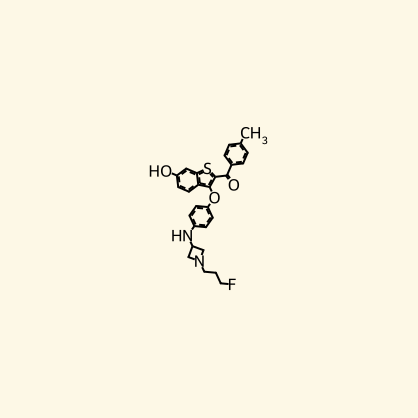 Cc1ccc(C(=O)c2sc3cc(O)ccc3c2Oc2ccc(NC3CN(CCCF)C3)cc2)cc1